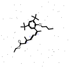 CCCCOc1c(\C(C)=C/C=C/C(C)=C/C(=O)OCC)cc(C(C)(C)C)cc1C(C)(C)C